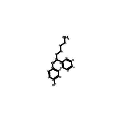 NCCCCC(Oc1ccc(F)cc1)c1ccccc1